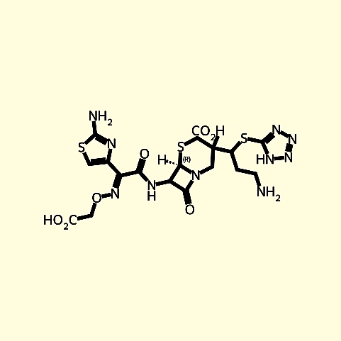 NCCC(Sc1nnn[nH]1)C1(C(=O)O)CS[C@@H]2C(NC(=O)C(=NOCC(=O)O)c3csc(N)n3)C(=O)N2C1